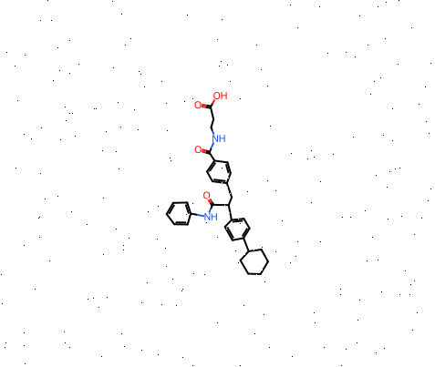 O=C(O)CCNC(=O)c1ccc(CC(C(=O)Nc2ccccc2)c2ccc(C3CCCCC3)cc2)cc1